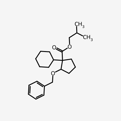 CC(C)COC(=O)C1(C2CCCCC2)CCCC1OCc1ccccc1